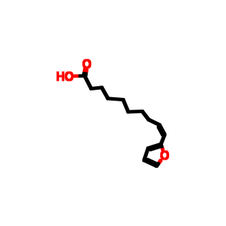 O=C(O)CCCCCCC/C=C\c1ccco1